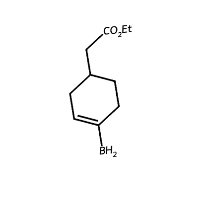 BC1=CCC(CC(=O)OCC)CC1